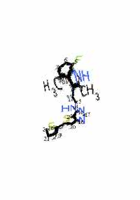 Cc1[nH]c2c(F)ccc(C)c2c1CCNc1ncnc2cc(-c3cccs3)sc12